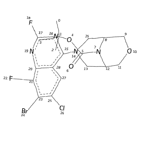 CC(C)(C)OC(=O)N1C2COCC1CN(c1nc(F)nc3c(F)c(Br)c(Cl)cc13)C2